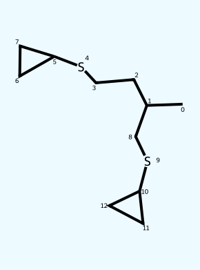 CC(CCSC1CC1)CSC1CC1